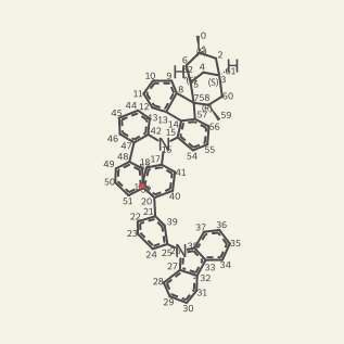 C[C@H]1C[C@@H]2C[C@H](C1)C1(c3ccccc3-c3c(N(c4ccc(-c5cccc(-n6c7ccccc7c7ccccc76)c5)cc4)c4ccccc4-c4ccccc4)cccc31)[C@H](C)C2